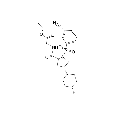 CCOC(=O)CNC(=O)C1C[C@@H](N2CCC(F)CC2)CN1S(=O)(=O)c1cccc(C#N)c1